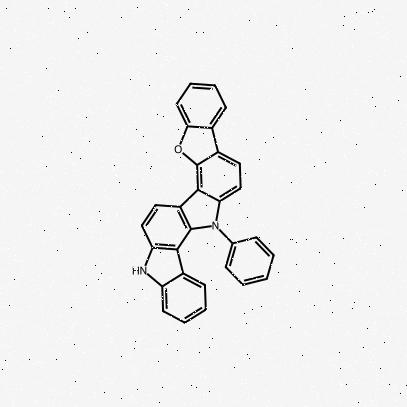 c1ccc(-n2c3ccc4c5ccccc5oc4c3c3ccc4[nH]c5ccccc5c4c32)cc1